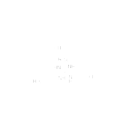 CCCNC(N[SiH3])(NCCC)NCCC